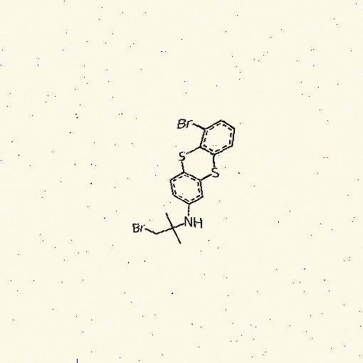 CC(C)(CBr)Nc1ccc2c(c1)Sc1cccc(Br)c1S2